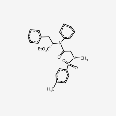 CCOC(=O)[C@H](Cc1ccccc1)N(C(=O)CN(C)S(=O)(=O)c1ccc(C)cc1)c1ccccc1